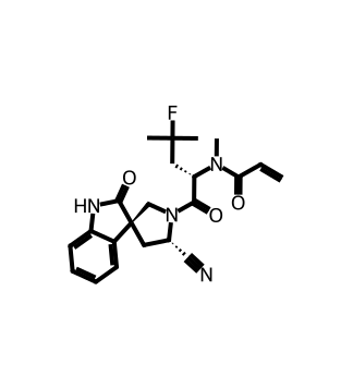 C=CC(=O)N(C)[C@@H](CC(C)(C)F)C(=O)N1C[C@]2(C[C@H]1C#N)C(=O)Nc1ccccc12